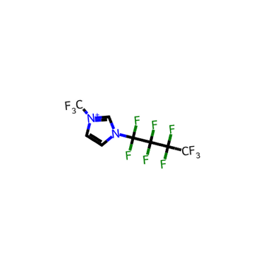 FC(F)(F)[n+]1ccn(C(F)(F)C(F)(F)C(F)(F)C(F)(F)F)c1